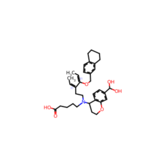 C/C=C(CCN(CCCCC(=O)O)C1CCOc2cc(C(O)O)ccc21)\C(=C/C)OCc1ccc2c(c1)CCCC2